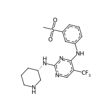 CS(=O)(=O)c1cccc(Nc2nc(N[C@H]3CCCNC3)ncc2C(F)(F)F)c1